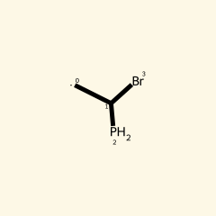 [CH2]C(P)Br